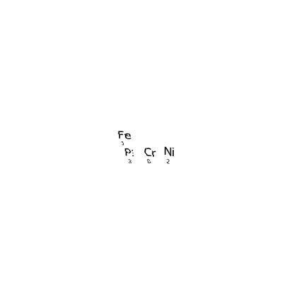 [Cr].[Fe].[Ni].[P]